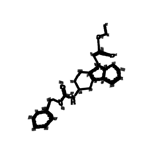 CCOC(=O)Cn1c2c(c3ccccc31)CC(NC(=O)OCc1ccccc1)CC2